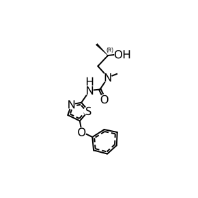 C[C@@H](O)CN(C)C(=O)Nc1ncc(Oc2ccccc2)s1